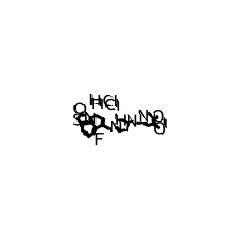 Cl.Cl.O=c1sc2ccc(F)c3c2n1CCC3CN1CCC(NCc2cc3c(cn2)OCCO3)CC1